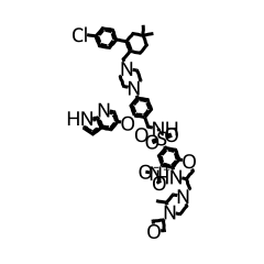 CC1CN(CC2COc3cc(S(=O)(=O)NC(=O)c4ccc(N5CCN(CC6=C(c7ccc(Cl)cc7)CC(C)(C)CC6)CC5)cc4Oc4cnc5[nH]ccc5c4)cc([N+](=O)[O-])c3N2)CCN1C1COC1